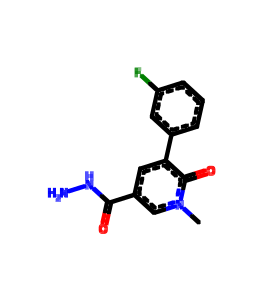 Cn1cc(C(=O)NN)cc(-c2cccc(F)c2)c1=O